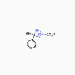 CC(C)(C)C(N)(CNC(=O)O)c1ccccc1